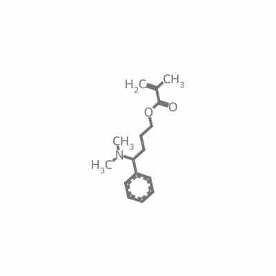 C=C(C)C(=O)OCCCC(c1ccccc1)N(C)C